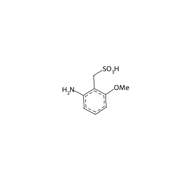 COc1cccc(N)c1CS(=O)(=O)O